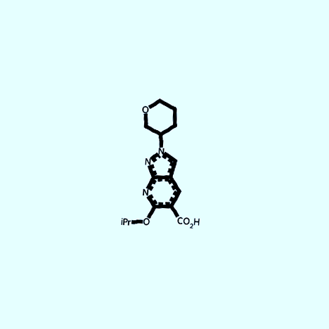 CC(C)Oc1nc2nn(C3CCCOC3)cc2cc1C(=O)O